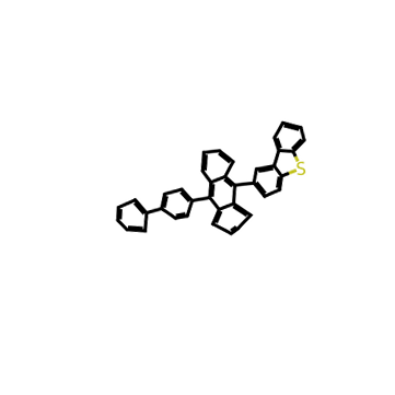 c1ccc(-c2ccc(-c3c4ccccc4c(-c4ccc5sc6ccccc6c5c4)c4ccccc34)cc2)cc1